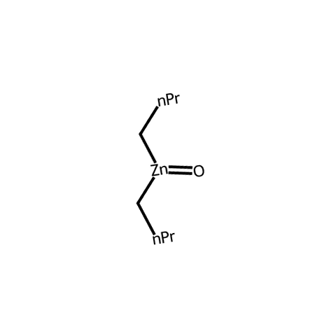 CCC[CH2][Zn](=[O])[CH2]CCC